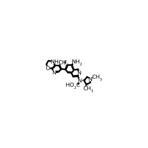 Cc1c(-c2cc3cc(N(C(=O)O)[C@@H]4CN(C)C[C@H]4C)ncc3c(N)c2F)cnc2c1NCCO2